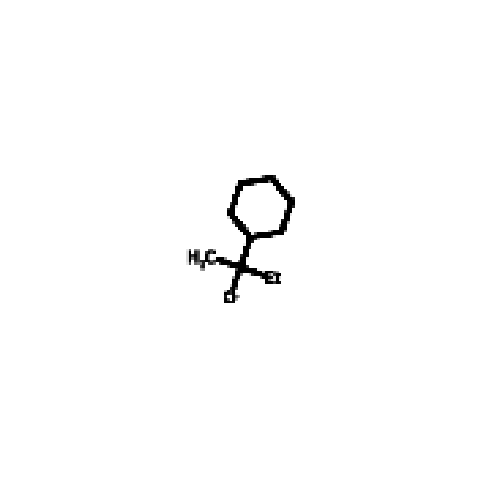 CCC(C)([O])C1CCCCC1